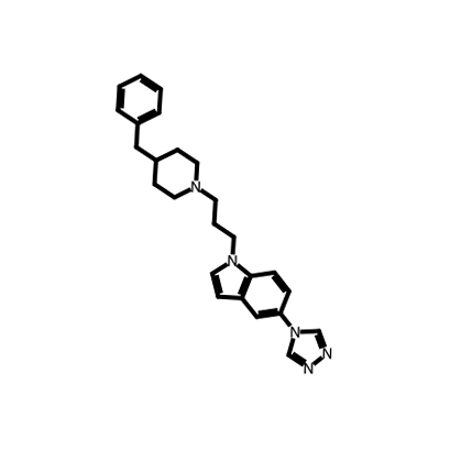 c1ccc(CC2CCN(CCCn3ccc4cc(-n5cnnc5)ccc43)CC2)cc1